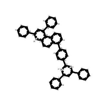 c1ccc(-c2cc(-c3ccccc3)nc(-c3ccc(-c4cccc5c4ccc4nc(-c6ccccc6)cc(-c6ccccc6)c45)cc3)n2)cc1